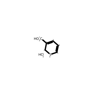 Cl.O=C(O)C1=CC=CSC1